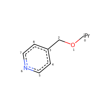 CC(C)OCc1ccncc1